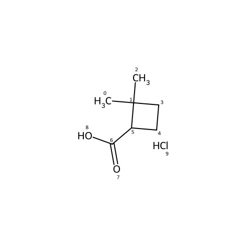 CC1(C)CCC1C(=O)O.Cl